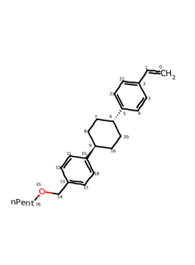 C=Cc1ccc([C@H]2CC[C@H](c3ccc(COCCCCC)cc3)CC2)cc1